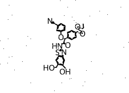 CCS(=O)(=O)c1ccc(C(Oc2cccc(C#N)c2)C(=O)Nc2nc3cc(CO)c(CO)cc3s2)cc1